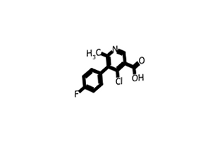 Cc1ncc(C(=O)O)c(Cl)c1-c1ccc(F)cc1